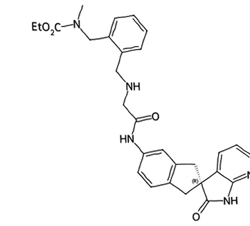 CCOC(=O)N(C)Cc1ccccc1CNCC(=O)Nc1ccc2c(c1)C[C@@]1(C2)C(=O)Nc2ncccc21